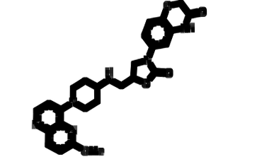 COc1ccc2nccc(N3CCC(NCC4CN(c5ccc6c(c5)NC(=O)CO6)C(=O)O4)CC3)c2n1